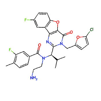 Cc1ccc(C(=O)N(CCN)[C@@H](c2nc3c(oc4ccc(F)cc43)c(=O)n2Cc2ccc(Cl)o2)C(C)C)cc1F